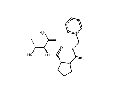 C[C@@H](O)[C@H](NC(=O)[C@@H]1CCCN1C(=O)OCc1ccccc1)C(N)=O